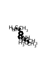 CNC(C)c1ccc2c(NC(=O)OC(C)(C)C)nccc2c1